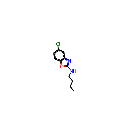 CCCCNc1nc2cc(Cl)ccc2o1